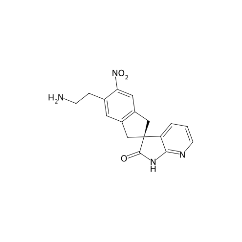 NCCc1cc2c(cc1[N+](=O)[O-])C[C@]1(C2)C(=O)Nc2ncccc21